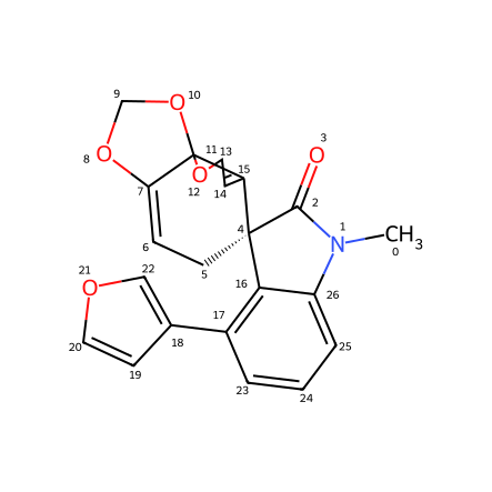 CN1C(=O)[C@@]2(CC=C3OCOC34OCC=C42)c2c(-c3ccoc3)cccc21